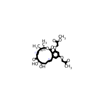 COC(=O)COc1cc(OCC(C)=O)cc2c1C(=O)O[C@@H](C)[C@H](C)/C=C\C(=O)[C@@H](O)[C@@H](O)C/C=C/2